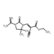 CCOC(=O)C(C#N)=CN1C(=O)N(C(=N)N)CC1(C)C